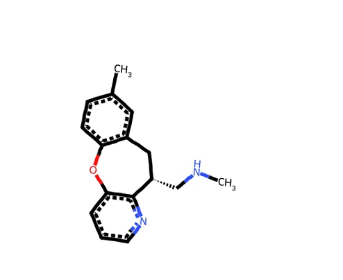 CNC[C@H]1Cc2cc(C)ccc2Oc2cccnc21